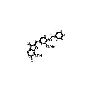 COc1cc(/C=C2\Oc3c(ccc(O)c3O)C2=O)ccc1OCc1ccccc1